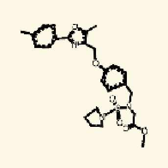 COC(=O)CN(Cc1ccc(OCc2nc(-c3ccc(C)cc3)oc2C)cc1)S(=O)(=O)N1CCCC1